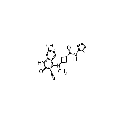 Cc1ccc2c(N(C)C3CC(C(=O)Nc4cccs4)C3)c(C#N)c(=O)[nH]c2c1